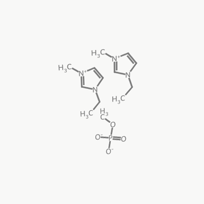 CCn1cc[n+](C)c1.CCn1cc[n+](C)c1.COP(=O)([O-])[O-]